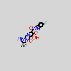 CC(=O)C1CNC2Cn3cc(C(=O)NCc4ccc(F)cc4)c(=O)c(O)c3C(=O)N2C1